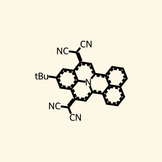 CC(C)(C)c1cc2c3c(c1)c(=C(C#N)C#N)cc1c4cccc5cccc(c(cc2=C(C#N)C#N)N31)c54